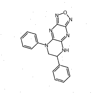 c1ccc(C2CN(c3ccccc3)c3nc4nonc4nc3N2)cc1